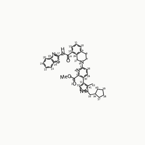 COC(=O)c1nc(N2CCc3cccc(C(=O)Nc4nc5ccccc5s4)c3C2)ccc1-c1cnn(CC2CCCC2)c1C